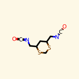 O=C=NCC1CC(CN=C=O)SCS1